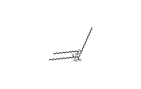 CCCCCCCCCCCCCCCCC(CSC[C@H](NOC(=O)CCCCCCCCCCCCCCC)C(=O)O)OC(=O)CCCCCCCCCCCCCCC